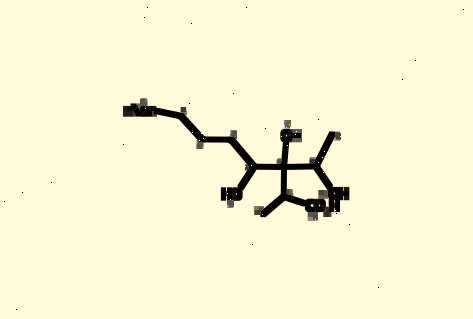 CCCCCCCCCCCCC(O)C(O)(C(C)O)C(C)C(=O)O